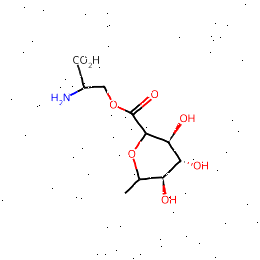 CC1OC(C(=O)OCC(N)C(=O)O)[C@@H](O)[C@H](O)[C@H]1O